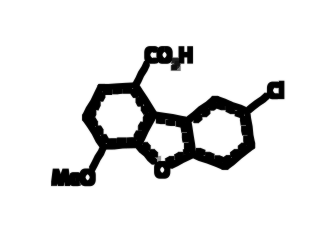 COc1ccc(C(=O)O)c2c1oc1ccc(Cl)cc12